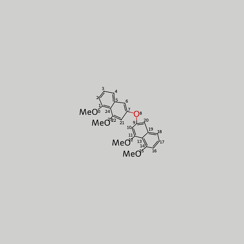 COc1cccc2cc(Oc3cc(OC)c4c(OC)cccc4c3)cc(OC)c12